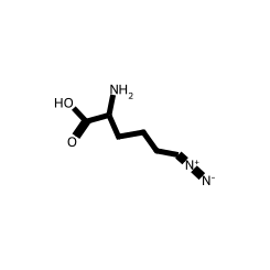 [N-]=[N+]=CCCCC(N)C(=O)O